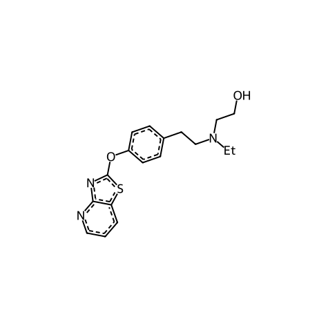 CCN(CCO)CCc1ccc(Oc2nc3ncccc3s2)cc1